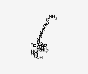 CC(C)c1c(C(=O)Nc2ccccc2)c(-c2ccc(OCCOCCOCCOCCOCCOCCOCCN)cc2)c(-c2ccc(F)cc2)n1CCC(O)CC(O)CC(=O)O